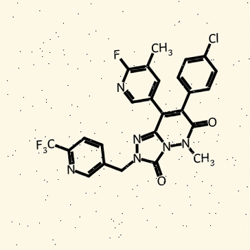 Cc1cc(-c2c(-c3ccc(Cl)cc3)c(=O)n(C)n3c(=O)n(Cc4ccc(C(F)(F)F)nc4)nc23)cnc1F